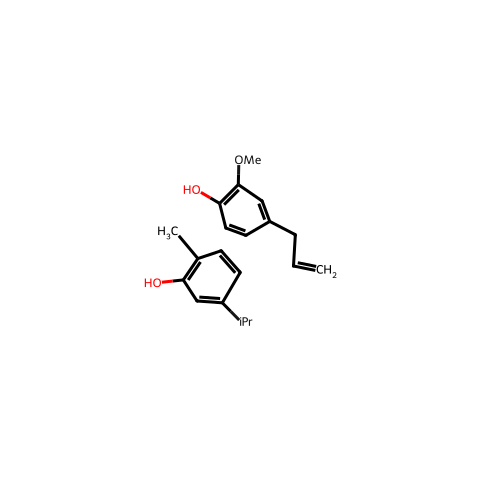 C=CCc1ccc(O)c(OC)c1.Cc1ccc(C(C)C)cc1O